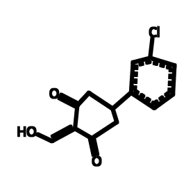 O=C1CC(c2cccc(Cl)c2)CC(=O)C1=CO